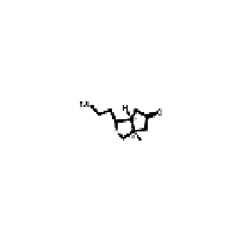 CC(C)(C)CCC1SC[C@@]2(C)CC(=O)C[C@@H]12